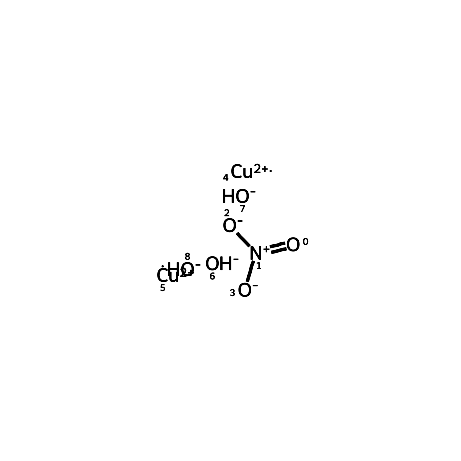 O=[N+]([O-])[O-].[Cu+2].[Cu+2].[OH-].[OH-].[OH-]